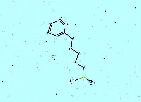 C[S+](C)CCCCCc1ccccc1.[Cl-]